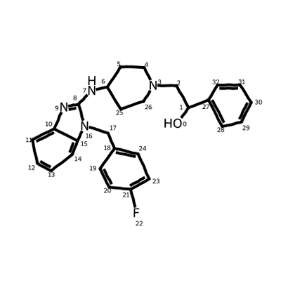 OC(CN1CCC(Nc2nc3ccccc3n2Cc2ccc(F)cc2)CC1)c1ccccc1